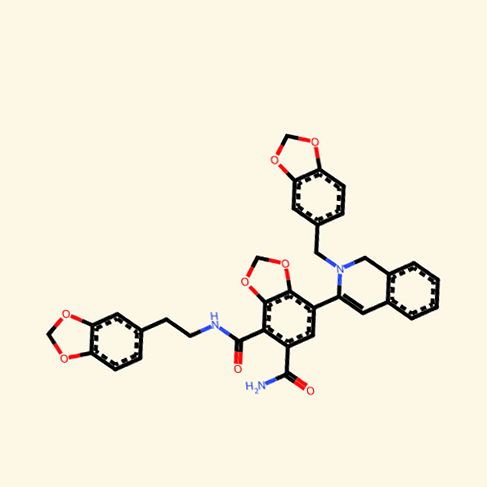 NC(=O)c1cc(C2=Cc3ccccc3CN2Cc2ccc3c(c2)OCO3)c2c(c1C(=O)NCCc1ccc3c(c1)OCO3)OCO2